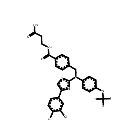 O=C(O)CCNC(=O)c1ccc(CN(c2ccc(OC(F)(F)F)cc2)c2nc(-c3ccc(Cl)c(Cl)c3)cs2)cc1